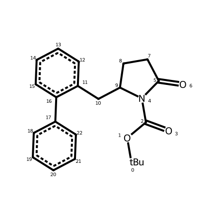 CC(C)(C)OC(=O)N1C(=O)CCC1Cc1ccccc1-c1ccccc1